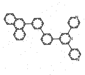 c1cc(-c2cccc(-c3cc4ccccc4c4ccccc34)c2)cc(-c2cc(-c3ccncc3)nc(-c3ccncc3)c2)c1